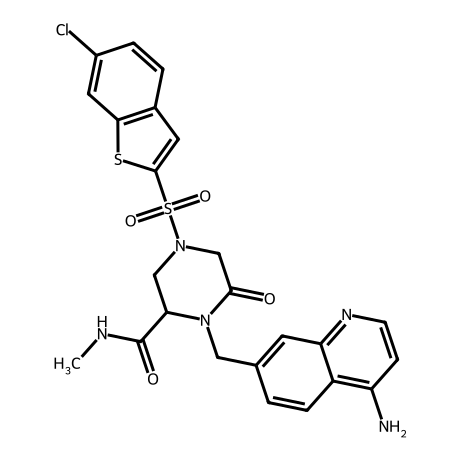 CNC(=O)C1CN(S(=O)(=O)c2cc3ccc(Cl)cc3s2)CC(=O)N1Cc1ccc2c(N)ccnc2c1